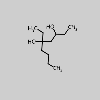 CCCCC(O)(CC)CC(O)CC